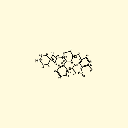 COc1cc(CN2CCN(C3CC4(CCNCC4)C3)C(c3ccccc3C(C)C)C2)ccc1C